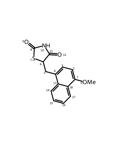 COc1ccc(CC2SC(=O)NC2=O)c2ccccc12